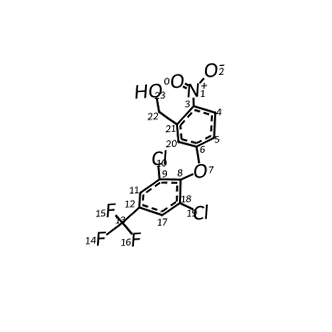 O=[N+]([O-])c1ccc(Oc2c(Cl)cc(C(F)(F)F)cc2Cl)cc1CO